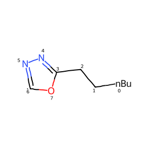 CCCCCCc1nn[c]o1